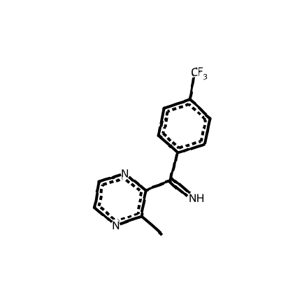 Cc1nccnc1C(=N)c1ccc(C(F)(F)F)cc1